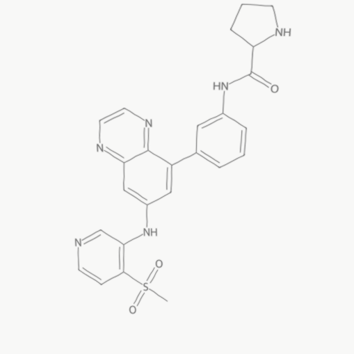 CS(=O)(=O)c1ccncc1Nc1cc(-c2cccc(NC(=O)C3CCCN3)c2)c2nccnc2c1